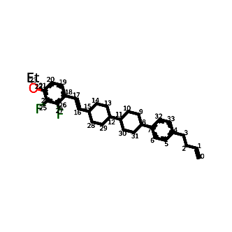 C=CCCc1ccc(C2CCC(C3CCC(/C=C/c4ccc(OCC)c(F)c4F)CC3)CC2)cc1